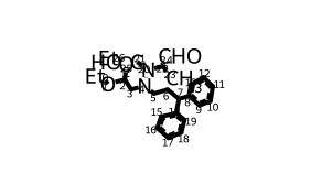 CCOC(CN(CCC(c1ccccc1)c1ccccc1)N(C(=O)O)C(C)C=O)OCC